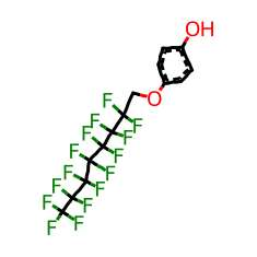 Oc1ccc(OCC(F)(F)C(F)(F)C(F)(F)C(F)(F)C(F)(F)C(F)(F)C(F)(F)F)cc1